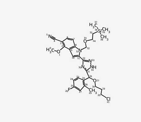 COc1c(C#N)ccc2c1cc(-c1n[nH]c(C(OCCCCl)c3ccc(F)cc3C)n1)n2COCC[Si](C)(C)C